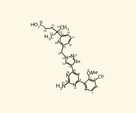 COc1c(Cl)cccc1-c1cc(-c2cn(Cc3cccc(C(C)(C)CCC(=O)O)n3)nn2)nc(N)n1